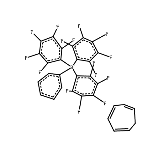 C1=CC=CCC=C1.Fc1c(F)c(F)c([B-](c2ccccc2)(c2c(F)c(F)c(F)c(F)c2F)c2c(F)c(F)c(F)c(F)c2F)c(F)c1F